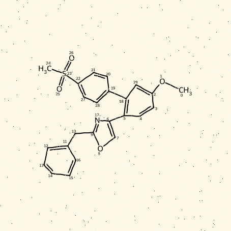 COc1ccc(-c2coc(Cc3ccccc3)n2)c(-c2ccc(S(C)(=O)=O)cc2)c1